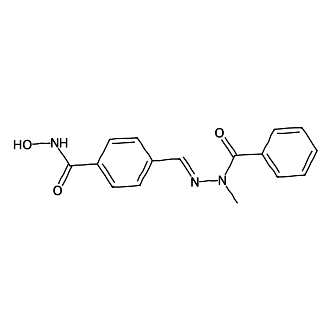 CN(/N=C/c1ccc(C(=O)NO)cc1)C(=O)c1ccccc1